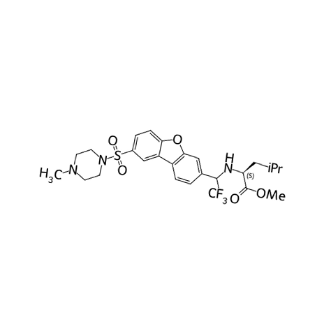 COC(=O)[C@H](CC(C)C)NC(c1ccc2c(c1)oc1ccc(S(=O)(=O)N3CCN(C)CC3)cc12)C(F)(F)F